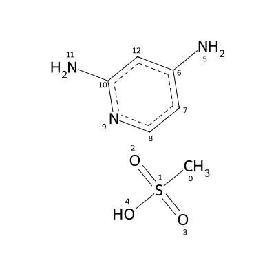 CS(=O)(=O)O.Nc1ccnc(N)c1